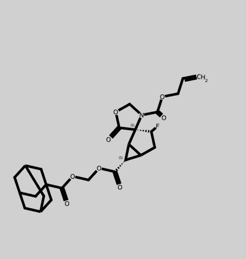 C=CCOC(=O)N1COC(=O)[C@@]12C(F)CC1C2[C@H]1C(=O)OCOC(=O)C12CC3CC(CC(C3)C1)C2